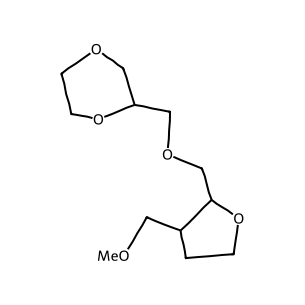 COCC1CCOC1COCC1COCCO1